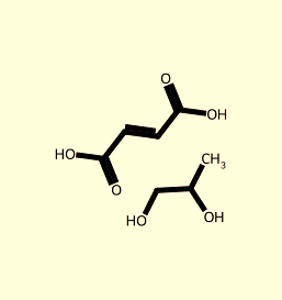 CC(O)CO.O=C(O)/C=C/C(=O)O